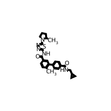 Cc1ccc(C(=O)Nc2nnc(N3CCCC3C)s2)cc1-c1ccc(C(=O)NCC2CC2)cc1